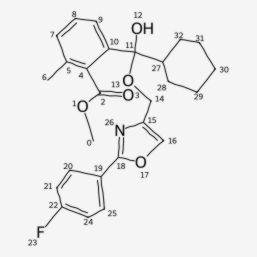 COC(=O)c1c(C)cccc1C(O)(OCc1coc(-c2ccc(F)cc2)n1)C1CCCCC1